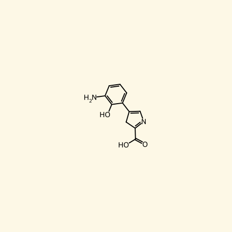 Nc1cccc(C2=CN=C(C(=O)O)C2)c1O